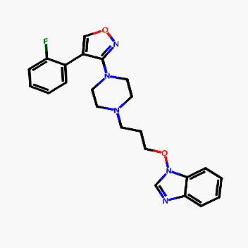 Fc1ccccc1-c1conc1N1CCN(CCCOn2cnc3ccccc32)CC1